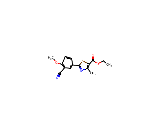 CCOC(=O)c1sc(-c2ccc(OC)c(C#N)c2)nc1C